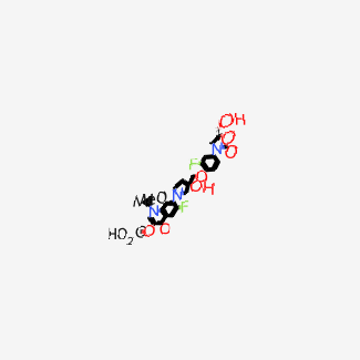 COc1c(N2CC[C@@](O)(COc3ccc(N4C[C@H](CO)OC4=O)cc3F)C2)c(F)cc2c(=O)c(OC(=O)O)cn(C3CC3)c12